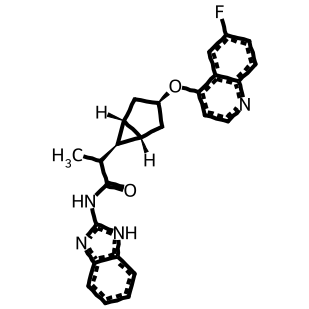 CC(C(=O)Nc1nc2ccccc2[nH]1)[C@H]1[C@@H]2C[C@@H](Oc3ccnc4ccc(F)cc34)C[C@@H]21